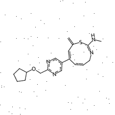 C=C1/C=C(c2cnc(COC3CCCC3)nc2)\C=C/C/N=C(/NC)S1